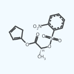 C[C@@H](OS(=O)(=O)c1ccccc1[N+](=O)[O-])C(=O)OC1=CC=CC1